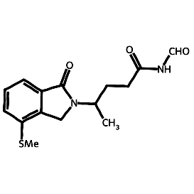 CSc1cccc2c1CN(C(C)CCC(=O)NC=O)C2=O